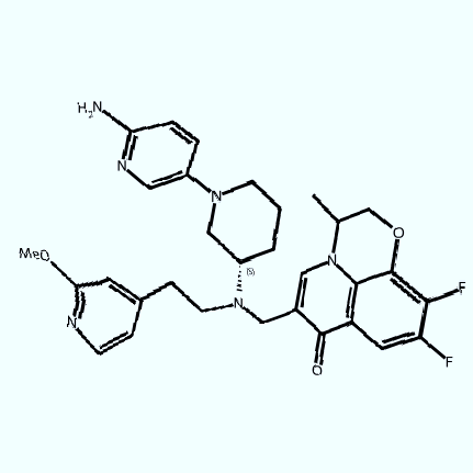 COc1cc(CCN(Cc2cn3c4c(c(F)c(F)cc4c2=O)OCC3C)[C@H]2CCCN(c3ccc(N)nc3)C2)ccn1